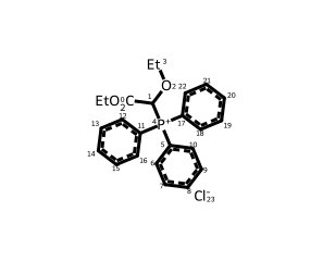 CCOC(=O)C(OCC)[P+](c1ccccc1)(c1ccccc1)c1ccccc1.[Cl-]